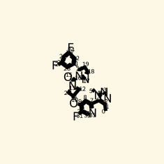 Cc1nnn(C)c1-c1cc(OC2CN(C(=O)N3N=CC[C@H]3c3cc(F)cc(F)c3)C2)c(F)cn1